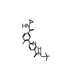 C=C(NCC(C)(C)C)c1ccc(-c2cc(C(=C)NC3CC3)ccc2C)nc1